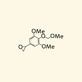 COCOc1c(OC)cc(C2CO2)cc1OC